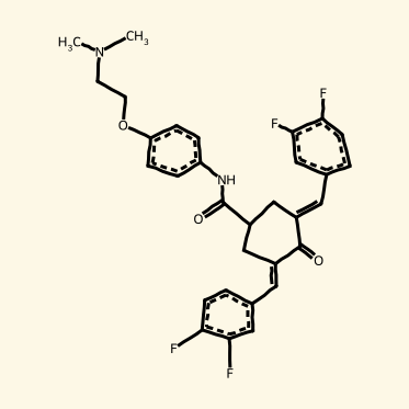 CN(C)CCOc1ccc(NC(=O)C2C/C(=C\c3ccc(F)c(F)c3)C(=O)/C(=C/c3ccc(F)c(F)c3)C2)cc1